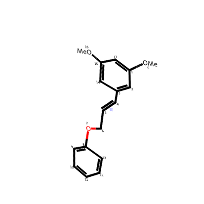 COc1cc(/C=C/COc2ccccc2)cc(OC)c1